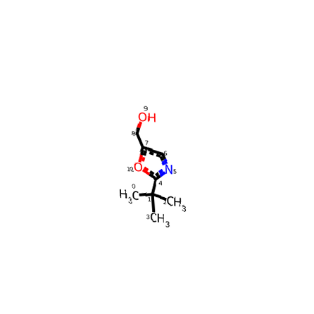 CC(C)(C)c1ncc(CO)o1